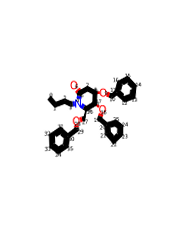 CCCCN1C(=O)C[C@@H](OCc2ccccc2)[C@@H](OCc2ccccc2)[C@H]1COCc1ccccc1